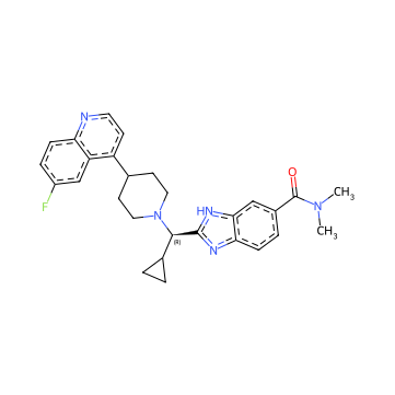 CN(C)C(=O)c1ccc2nc([C@@H](C3CC3)N3CCC(c4ccnc5ccc(F)cc45)CC3)[nH]c2c1